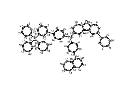 c1ccc(-c2ccc3oc4ccc(N(c5ccc(-c6cccc(S(c7ccccc7)(c7ccccc7)c7ccccc7)c6)cc5)c5ccc(-c6cccc7ccccc67)cc5)cc4c3c2)cc1